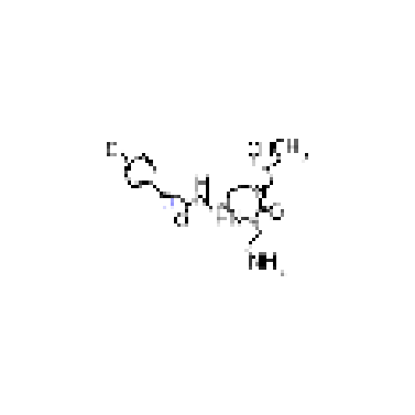 CCC(CC)CN1CC[C@@H](CNC(=O)/C=C/c2ccc(Cl)cc2)N[C@@H](CCN)C1=O